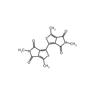 Cc1sc(-c2sc(C)c3c2C(=O)N(C)C3=O)c2c1C(=O)N(C)C2=O